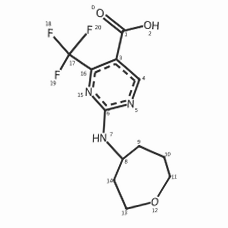 O=C(O)c1cnc(NC2CCCOCC2)nc1C(F)(F)F